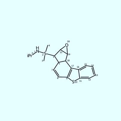 CC(C)NS(C)(C)C1C2C=Cc3sc4ccccc4c3C2C2OC21